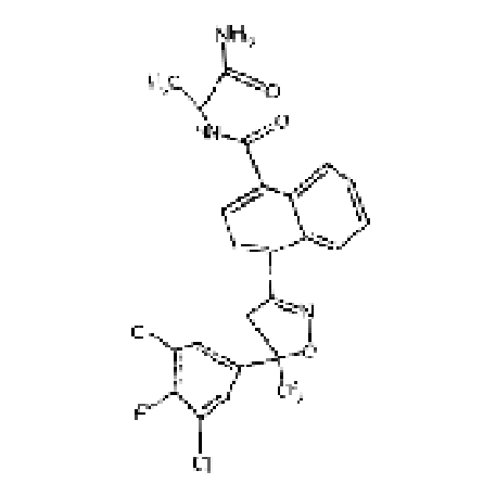 CC(NC(=O)c1ccc(C2=NOC(c3cc(Cl)c(F)c(Cl)c3)(C(F)(F)F)C2)c2ccccc12)C(N)=O